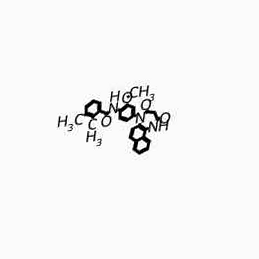 COc1cc(N2C(=O)CC(=O)Nc3c2ccc2ccccc32)ccc1NC(=O)c1cccc(C)c1C